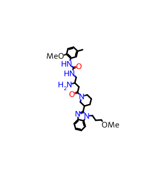 COCCCn1c(C2CCCN(C(=O)CC(N)CNC(=O)Nc3cc(C)ccc3OC)C2)nc2ccccc21